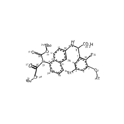 CCOc1cc(CC)cc(C(Nc2ccc3c(N(C(=O)OC(C)(C)C)C(=O)OC(C)(C)C)nccc3c2)C(=O)O)c1F